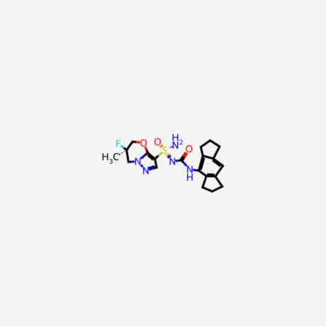 C[C@]1(F)COc2c([S@@](N)(=O)=NC(=O)Nc3c4c(cc5c3CCC5)CCC4)cnn2C1